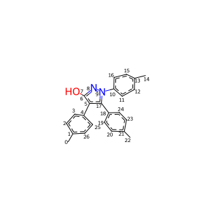 Cc1ccc(-c2c(O)nn(-c3ccc(C)cc3)c2-c2ccc(C)cc2)cc1